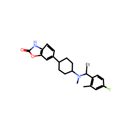 CCC(c1ccc(F)cc1C)N(C)C1CCC(c2ccc3[nH]c(=O)oc3c2)CC1